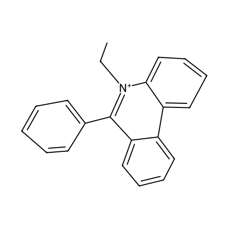 CC[n+]1c(-c2ccccc2)c2ccccc2c2ccccc21